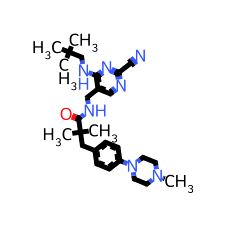 CN1CCN(c2ccc(CC(C)(C)C(=O)NCc3cnc(C#N)nc3NCC(C)(C)C)cc2)CC1